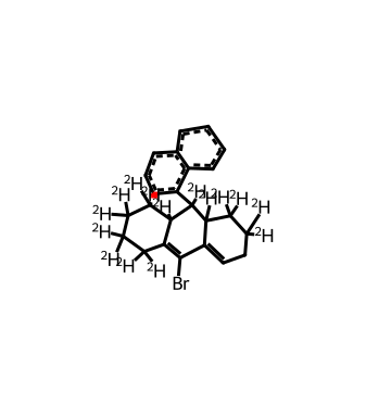 [2H]C1([2H])CC=C2C(Br)=C3C([2H])([2H])C([2H])([2H])C([2H])([2H])C([2H])([2H])C3([2H])C([2H])(c3cccc4ccccc34)C2([2H])C1([2H])[2H]